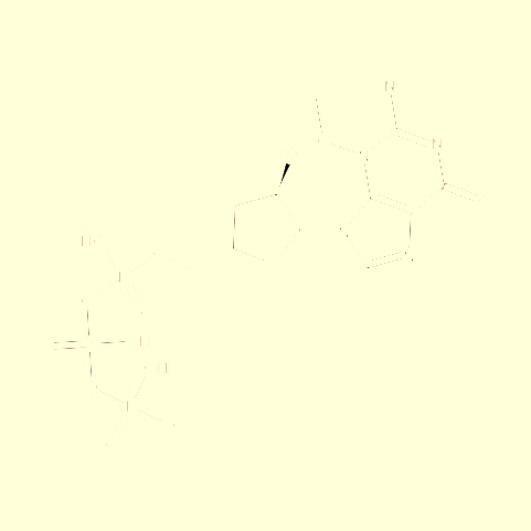 COn1c(N)nc(=O)c2ncn([C@@H]3O[C@H](COP(=O)(O)OP(=O)(O)OP(=O)(O)O)C[C@H]3O)c21